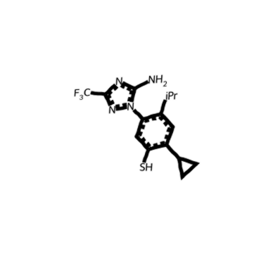 CC(C)c1cc(C2CC2)c(S)cc1-n1nc(C(F)(F)F)nc1N